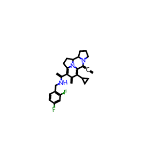 C=C=C1C2=C(C3CC3)C(=C)C(C(=C)NCc3ccc(F)cc3F)=C3CCC(C4CCCN14)N32